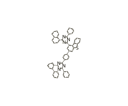 c1ccc(-c2nc(-c3ccc(-c4cc(-c5nc(-c6ccccc6)nc(-c6cccc7ccccc67)n5)c5c(c4)sc4ccccc45)cc3)nc(-c3ccccc3-c3ccccc3)n2)cc1